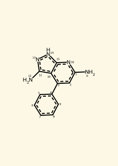 Nc1cc(-c2ccccc2)c2c(N)n[nH]c2n1